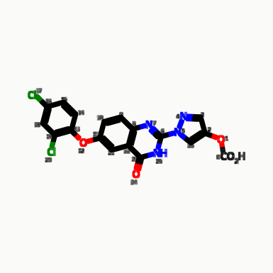 O=C(O)Oc1cnn(-c2nc3ccc(Oc4ccc(Cl)cc4Cl)cc3c(=O)[nH]2)c1